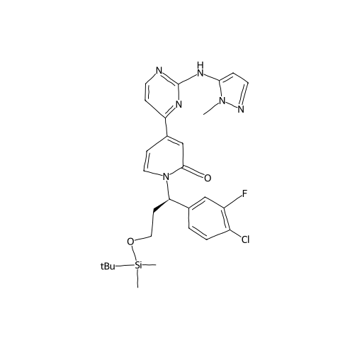 Cn1nccc1Nc1nccc(-c2ccn([C@H](CCO[Si](C)(C)C(C)(C)C)c3ccc(Cl)c(F)c3)c(=O)c2)n1